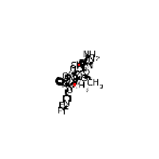 CCC(=O)O[C@@H](c1ccc2c(N)ncnn12)[C@H](OC(=O)CC)[C@@](C#N)(COP(=O)(N[C@@H](C)C(=O)OCC1CCN(CC(F)(F)F)CC1)Oc1ccccc1)OC